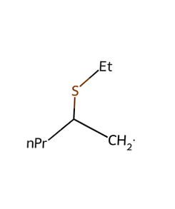 [CH2]C(CCC)SCC